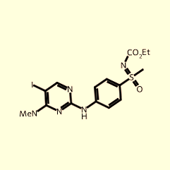 CCOC(=O)N=S(C)(=O)c1ccc(Nc2ncc(I)c(NC)n2)cc1